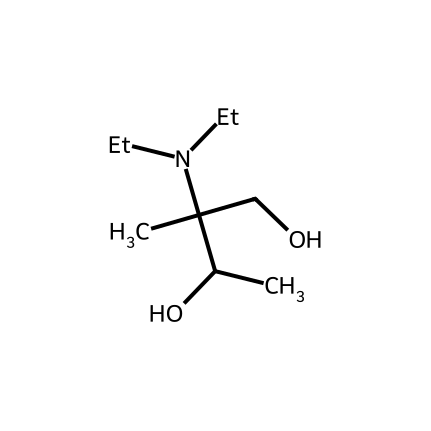 CCN(CC)C(C)(CO)C(C)O